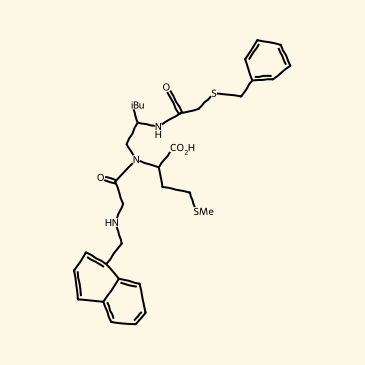 CCC(C)C(CN(C(=O)CNCc1cccc2ccccc12)C(CCSC)C(=O)O)NC(=O)CSCc1ccccc1